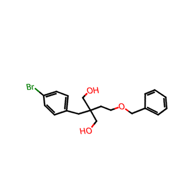 OCC(CO)(CCOCc1ccccc1)Cc1ccc(Br)cc1